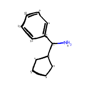 NC([C]1CCCC1)c1ccccc1